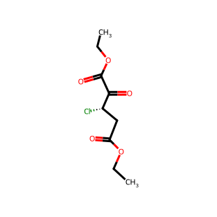 CCOC(=O)C[C@H](Cl)C(=O)C(=O)OCC